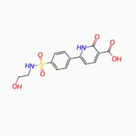 O=C(O)c1ccc(-c2ccc(S(=O)(=O)NCCO)cc2)[nH]c1=O